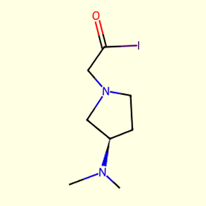 CN(C)[C@@H]1CCN(CC(=O)I)C1